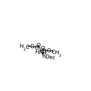 C=CCOCCOC(=O)CCC(NC(=O)CCCCCCCCCCC)C(=O)OCCOCC=C